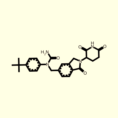 CC(C)(C)c1ccc(N(Cc2ccc3c(c2)CN(C2CCC(=O)NC2=O)C3=O)C(N)=O)cc1